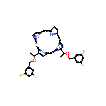 CC(OCc1cc(F)cc(F)c1)C1=Cc2cc3[nH]c(cc4nc(cc5ccc(cc1n2)[nH]5)C=C4)cc3C(C)OCc1cc(F)cc(F)c1